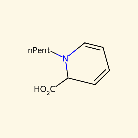 CCCCCN1C=CC=CC1C(=O)O